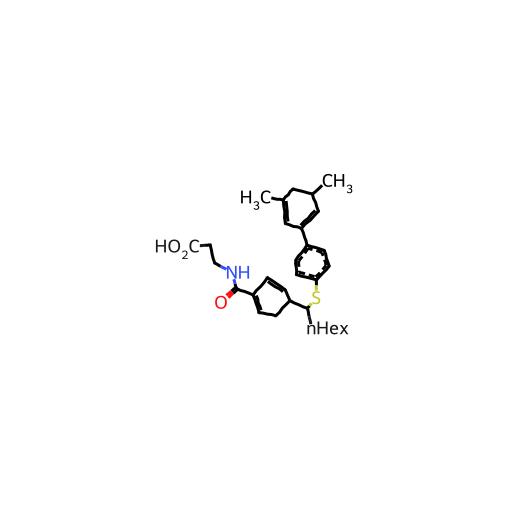 CCCCCCC(Sc1ccc(C2=CC(C)CC(C)=C2)cc1)C1C=CC(C(=O)NCCC(=O)O)=CC1